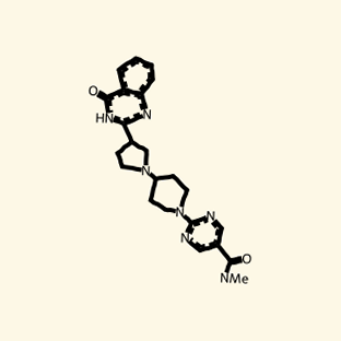 CNC(=O)c1cnc(N2CCC(N3CCC(c4nc5ccccc5c(=O)[nH]4)C3)CC2)nc1